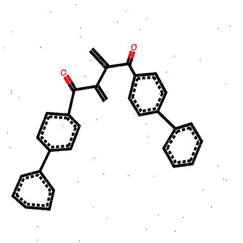 C=C(C(=C)C(=O)c1ccc(-c2ccccc2)cc1)C(=O)c1ccc(-c2ccccc2)cc1